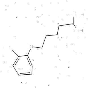 NC(CCCCNc1ccccc1[N+](=O)[O-])C(=O)O